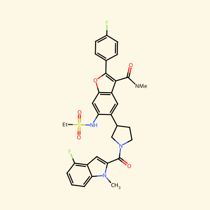 CCS(=O)(=O)Nc1cc2oc(-c3ccc(F)cc3)c(C(=O)NC)c2cc1C1CCN(C(=O)c2cc3c(F)cccc3n2C)C1